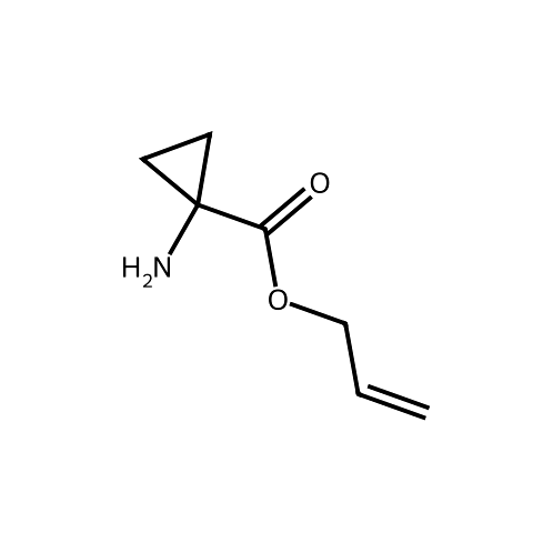 C=CCOC(=O)C1(N)CC1